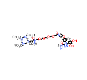 CCNC(=O)c1nnc(-c2cc(C(C)C)c(O)cc2O)n1-c1ccc(OC2CCN(C(=O)CCOCCOCCOCCOCCNC(=O)CC[C@@H](C(=O)O)N3CCN(CC(=O)O)CCN(CC(=O)O)CCN(CC(=O)O)CC3)CC2)cc1